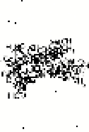 CC[C@H](C)[C@H](NC(=O)[C@H](CO)NC(=O)[C@@H](NC(=O)[C@H](CS)NC(=O)[C@H](CS)NC(=O)[C@H](CCC(N)=O)NC(=O)[C@@H](N)CCC(=O)O)[C@@H](C)O)C(=O)N[C@@H](CS)C(=O)N[C@@H](CO)C(=O)N[C@@H](CC(C)C)C(=O)N[C@@H](Cc1ccc(O)cc1)C(=O)N[C@@H](CCC(N)=O)C(=O)N[C@@H](CC(C)C)C(=O)N[C@@H](CCC(=O)O)C(=O)N[C@@H](CC(N)=O)C(=O)N[C@@H](Cc1ccc(O)cc1)C(=O)N[C@@H](CS)C(=O)O